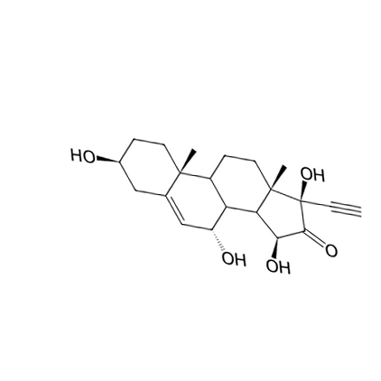 C#C[C@]1(O)C(=O)[C@@H](O)C2C3C(CC[C@@]21C)[C@@]1(C)CC[C@H](O)CC1=C[C@H]3O